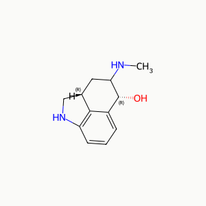 CNC1C[C@H]2CNc3cccc(c32)[C@H]1O